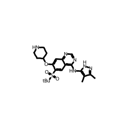 Cc1n[nH]c(Nc2ncnc3cc(OC4CCNCC4)c(S(=O)(=O)C(C)(C)C)cc23)c1C